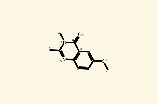 CSc1ccc2nc(C)n(C)c(=O)c2c1